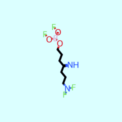 N=C(CCCOB(OF)OF)CCCN(F)F